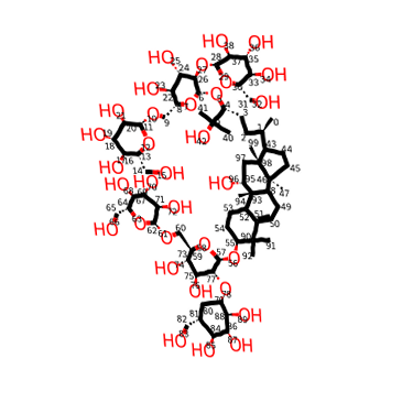 C[C@H](CC[C@@H](O[C@@H]1O[C@H](CO[C@@H]2O[C@H](CO)[C@@H](O)[C@H](O)[C@H]2O)[C@@H](O)[C@H](O)[C@H]1O[C@H]1O[C@@H](CO)[C@H](O)[C@@H](O)[C@@H]1O)C(C)(C)O)C1CC[C@@]2(C)C3CC=C4C(CC[C@H](O[C@@H]5O[C@H](CO[C@@H]6O[C@H](CO)[C@@H](O)[C@H](O)[C@H]6O)[C@@H](O)[C@H](O)[C@H]5O[C@H]5C[C@@H](CO)[C@H](O)[C@@H](O)[C@@H]5O)C4(C)C)[C@]3(C)[C@H](O)C[C@]12C